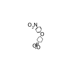 O=[N+]([O-])c1ccc(OC2CCC(P3OCO3)CC2)cc1